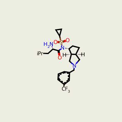 CC(C)C[C@H](N)C(=O)N([C@@H]1CC[C@H]2CN(Cc3cccc(C(F)(F)F)c3)C[C@H]21)S(=O)(=O)C1CC1